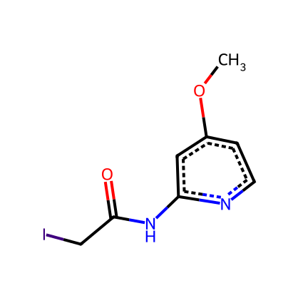 COc1ccnc(NC(=O)CI)c1